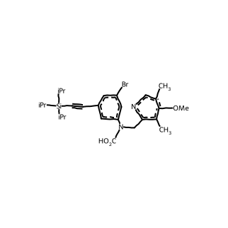 COc1c(C)cnc(CN(C(=O)O)c2cc(Br)cc(C#C[Si](C(C)C)(C(C)C)C(C)C)c2)c1C